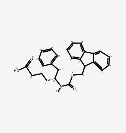 CN(C(=O)OCC1c2ccccc2-c2ccccc21)[C@H](CCCC(=O)O)Cc1ccccc1